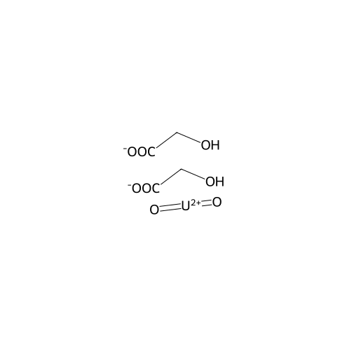 O=C([O-])CO.O=C([O-])CO.[O]=[U+2]=[O]